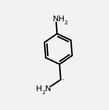 N[CH]c1ccc(N)cc1